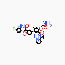 CNC(=O)c1c(-c2ccc(F)cc2)oc2ccc(-c3cc(C(=O)NC4(c5ccccn5)CC4)c(OCC(N)=O)cc3C)cc12